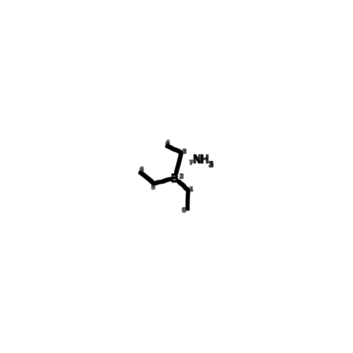 CCB(CC)CC.N